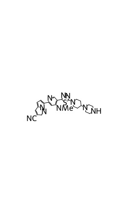 CNc1cc(-c2ccc3cc(C#N)cnn23)ncc1-c1nnc(N2CCC(N3CCNCC3)CC2)s1